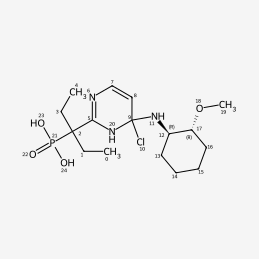 CCC(CC)(C1=NC=CC(Cl)(N[C@@H]2CCCC[C@H]2OC)N1)P(=O)(O)O